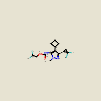 Cn1nc([C@H]2CC2(F)F)c(C2CCC2)c1NC(=O)OCC(F)F